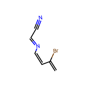 C=C(Br)/C=C\N=C\C#N